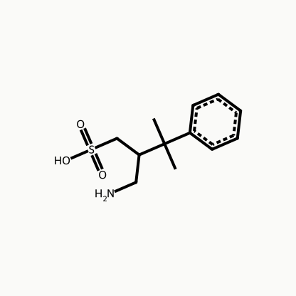 CC(C)(c1ccccc1)C(CN)CS(=O)(=O)O